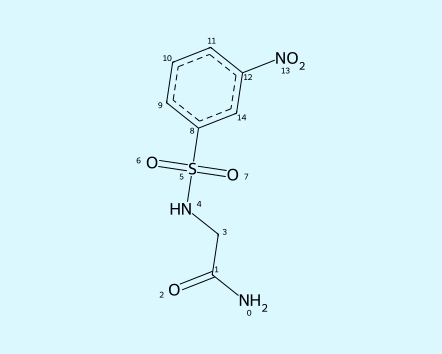 NC(=O)CNS(=O)(=O)c1cccc([N+](=O)[O-])c1